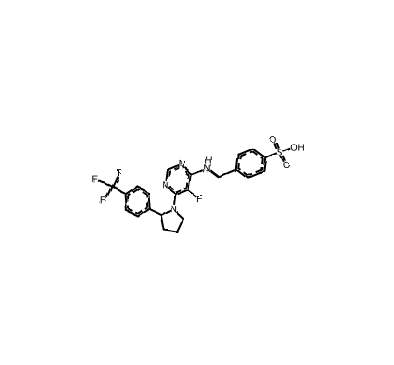 O=S(=O)(O)c1ccc(CNc2ncnc(N3CCCC3c3ccc(C(F)(F)F)cc3)c2F)cc1